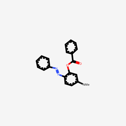 CNc1ccc(N=Nc2ccccc2)c(OC(=O)c2ccccc2)c1